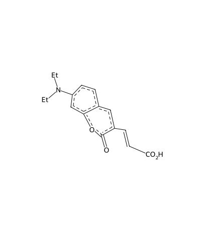 CCN(CC)c1ccc2cc(C=CC(=O)O)c(=O)oc2c1